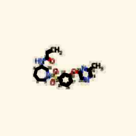 C=CC(=O)NC1CCCCN(S(=O)(=O)c2cccc(Oc3cncc(C)n3)c2)C1